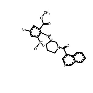 COC(=O)c1cc(Br)cc([N+](=O)[O-])c1N[C@@H]1CCCN(C(=O)c2cncc3ccccc23)C1